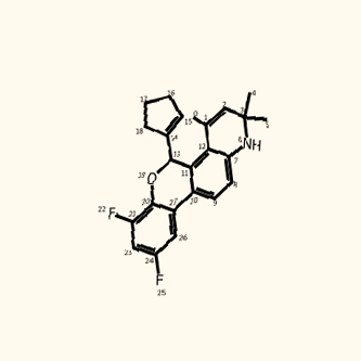 CC1=CC(C)(C)Nc2ccc3c(c21)C(C1=CCCC1)Oc1c(F)cc(F)cc1-3